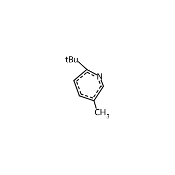 Cc1ccc(C(C)(C)C)nc1